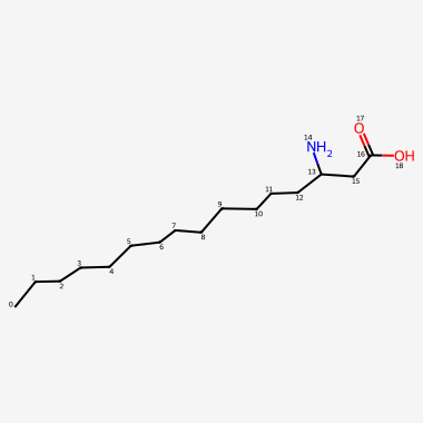 CCCCCCCCCCCCCC(N)CC(=O)O